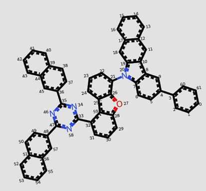 c1ccc(-c2ccc3c(c2)c2cc4ccccc4cc2n3-c2cccc3c2oc2cccc(-c4nc(-c5ccc6ccccc6c5)nc(-c5ccc6ccccc6c5)n4)c23)cc1